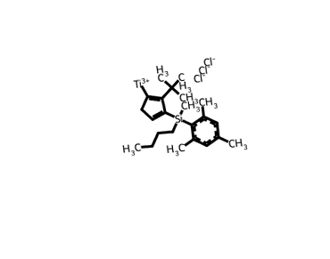 CCCC[Si](C)(C1=CC[C]([Ti+3])=C1C(C)(C)C)c1c(C)cc(C)cc1C.[Cl-].[Cl-].[Cl-]